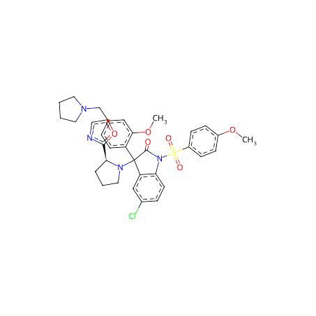 COc1ccc(S(=O)(=O)N2C(=O)C(c3ccc(CN4CCCC4)cc3OC)(N3CCC[C@H]3c3ncco3)c3cc(Cl)ccc32)cc1